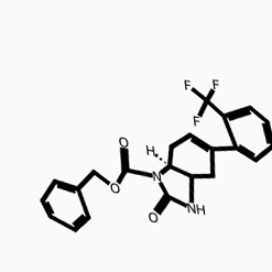 O=C1NC2CC(c3ccccc3C(F)(F)F)=CC[C@@H]2N1C(=O)OCc1ccccc1